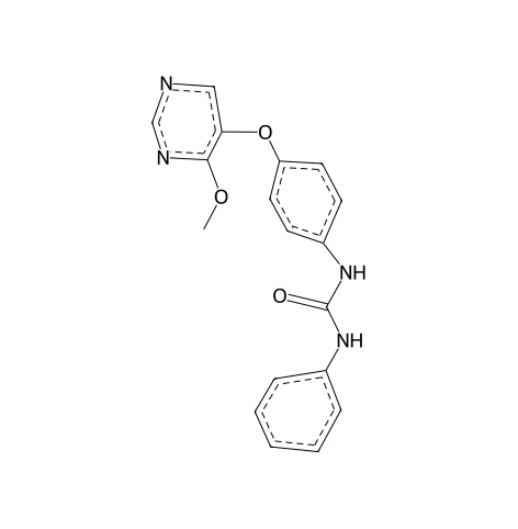 COc1ncncc1Oc1ccc(NC(=O)Nc2ccccc2)cc1